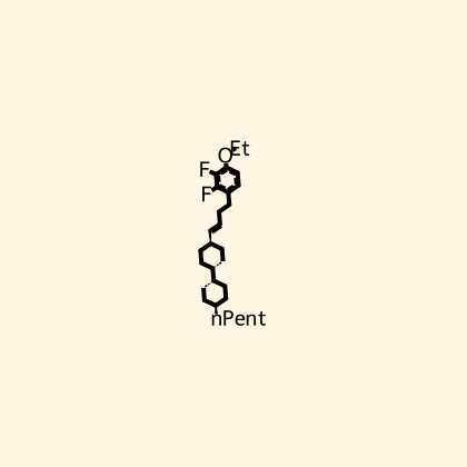 CCCCC[C@H]1CC[C@H]([C@H]2CC[C@H](C=CCCc3ccc(OCC)c(F)c3F)CC2)CC1